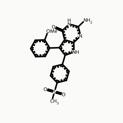 COc1ccccc1-c1c(-c2ccc(S(C)(=O)=O)cc2)[nH]c2nc(N)[nH]c(=O)c12